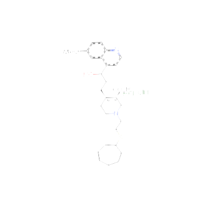 COc1ccc2nccc(C(O)CC[C@@H]3CCN(CCSC4CCCCCC4)C[C@@H]3C(=O)O)c2c1.Cl.Cl